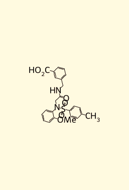 COc1ccccc1N(CC(=O)NCc1cccc(C(=O)O)c1)S(=O)(=O)c1ccc(C)cc1